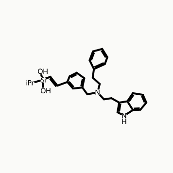 CC(C)[Si](O)(O)C=Cc1cccc(CN(CCc2ccccc2)CCc2c[nH]c3ccccc23)c1